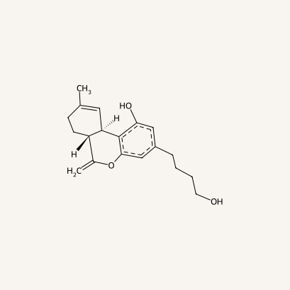 C=C1Oc2cc(CCCCO)cc(O)c2[C@@H]2C=C(C)CC[C@@H]12